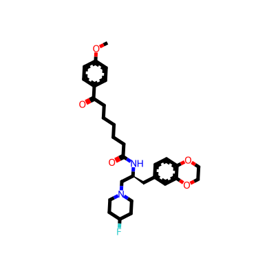 COc1ccc(C(=O)CCCCCC(=O)N[C@@H](Cc2ccc3c(c2)OCCO3)CN2CCC(F)CC2)cc1